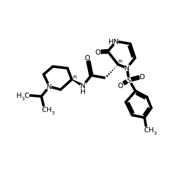 Cc1ccc(S(=O)(=O)N2C=CNC(=O)[C@H]2CC(=O)N[C@@H]2CCCN(C(C)C)C2)cc1